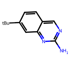 CC(C)(C)c1ccc2cnc(N)nc2c1